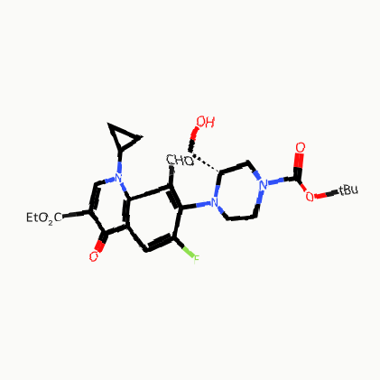 CCOC(=O)c1cn(C2CC2)c2c(C=O)c(N3CCN(C(=O)OC(C)(C)C)C[C@H]3CO)c(F)cc2c1=O